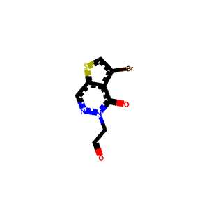 O=CCn1ncc2scc(Br)c2c1=O